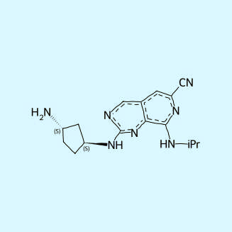 CC(C)Nc1nc(C#N)cc2cnc(N[C@H]3CC[C@H](N)C3)nc12